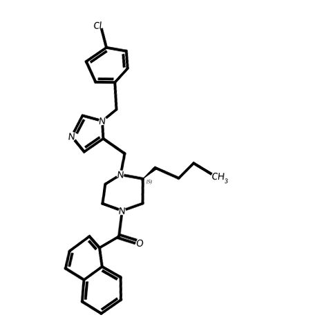 CCCC[C@H]1CN(C(=O)c2cccc3ccccc23)CCN1Cc1cncn1Cc1ccc(Cl)cc1